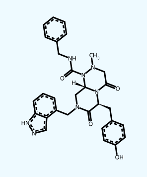 CN1CC(=O)N2[C@@H](Cc3ccc(O)cc3)C(=O)N(Cc3cccc4[nH]ncc34)C[C@@H]2N1C(=O)NCc1ccccc1